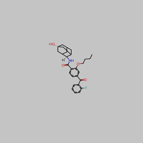 CCCCOc1cc(C(=O)c2ccccc2F)ccc1C(=O)N[C@H]1C2CC3CC1C[C@](O)(C3)C2